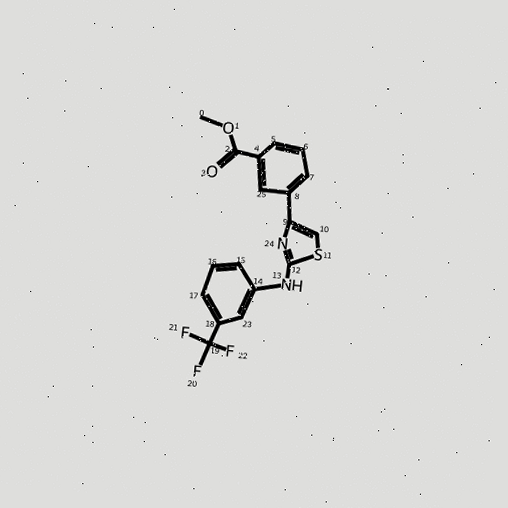 COC(=O)c1cccc(-c2csc(Nc3cccc(C(F)(F)F)c3)n2)c1